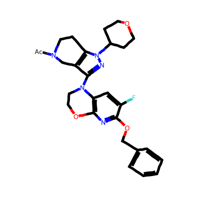 CC(=O)N1CCc2c(c(N3CCOc4nc(OCc5ccccc5)c(F)cc43)nn2C2CCOCC2)C1